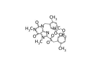 COc1ccc(C)c(Cn2c(=O)n(C)c(=O)c3c2nc(S(=O)(=O)Cc2cc(OC)ccc2C)n3C)c1